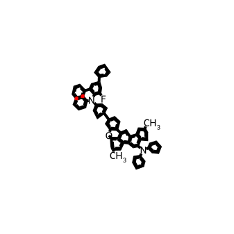 Cc1ccc2c(N(c3ccccc3)c3ccccc3)cc3c4cc(C)cc5c4c(cc3c2c1)-c1ccc(-c2ccc(N(c3ccccc3)c3c(F)cc(-c4ccccc4)cc3-c3ccccc3)cc2)cc1O5